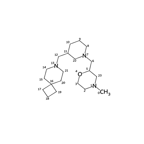 CN1CCOC(CN2CCCC(CN3CCC4(CCC4)CC3)C2)C1